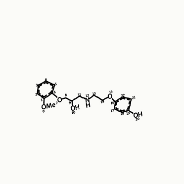 COc1ccccc1OCC(O)CNCCOc1ccc(O)cc1